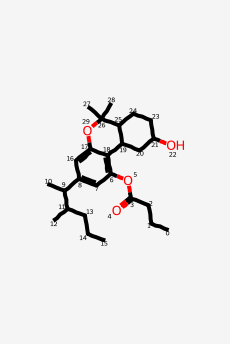 CCCC(=O)Oc1cc(C(C)C(C)CCC)cc2c1C1CC(O)CCC1C(C)(C)O2